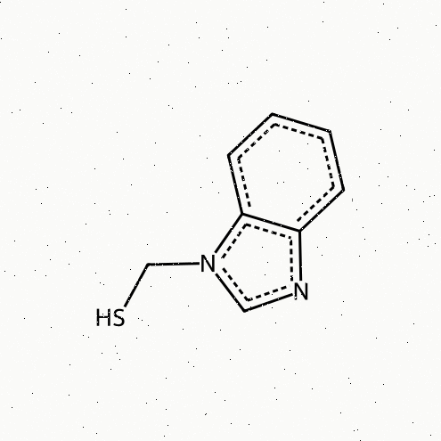 SCn1cnc2ccccc21